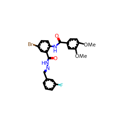 COc1ccc(C(=O)Nc2ccc(Br)cc2C(=O)NN=Cc2cccc(F)c2)cc1OC